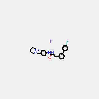 C[N+]1(Cc2ccc(NC(=O)C=Cc3cccc(-c4ccc(F)cc4)c3)cc2)CCCCC1.[I-]